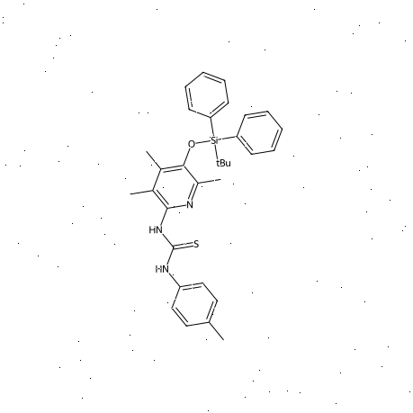 Cc1ccc(NC(=S)Nc2nc(C)c(O[Si](c3ccccc3)(c3ccccc3)C(C)(C)C)c(C)c2C)cc1